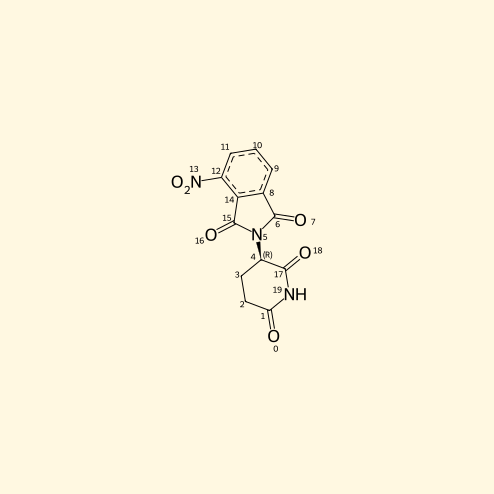 O=C1CC[C@@H](N2C(=O)c3cccc([N+](=O)[O-])c3C2=O)C(=O)N1